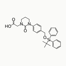 CC(C)(C)[Si](OCc1ccc(N2CCCN(CC(=O)O)C2=O)cc1)(c1ccccc1)c1ccccc1